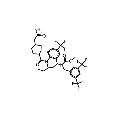 CCC1CC(N(Cc2cc(C(F)(F)F)cc(C(F)(F)F)c2)C(=O)OC)c2cc(C(F)(F)F)ccc2N1C(=O)C1CCC(CC(N)=O)CC1